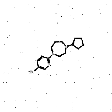 CC(C)(C)c1ccc(N2CCCN(C3CCCC3)CC2)nc1